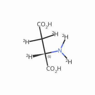 [2H]N([2H])[C@]([2H])(C(=O)O)C([2H])([2H])C(=O)O